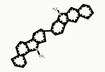 Cn1c2cc(-c3ccc4c5ccc6ccccc6c5n(C)c4c3)ccc2c2cc3ccccc3cc21